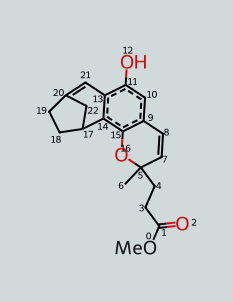 COC(=O)CCC1(C)C=Cc2cc(O)c3c(c2O1)C1CCC(=C3)C1